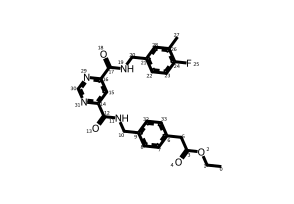 CCOC(=O)Cc1ccc(CNC(=O)c2cc(C(=O)NCc3ccc(F)c(C)c3)ncn2)cc1